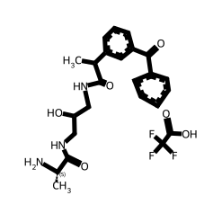 CC(C(=O)NCC(O)CNC(=O)[C@H](C)N)c1cccc(C(=O)c2ccccc2)c1.O=C(O)C(F)(F)F